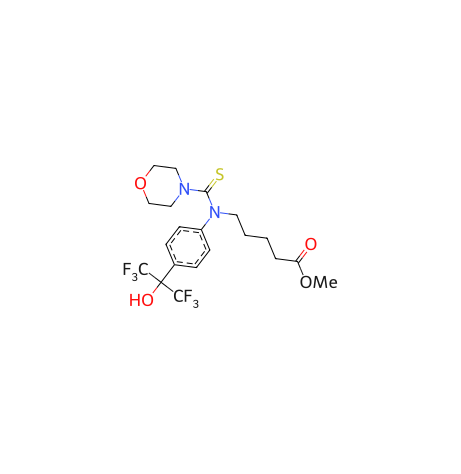 COC(=O)CCCCN(C(=S)N1CCOCC1)c1ccc(C(O)(C(F)(F)F)C(F)(F)F)cc1